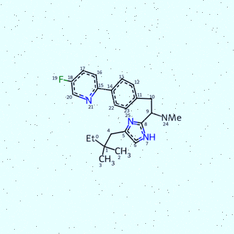 CCC(C)(C)Cc1c[nH]c(C(Cc2ccc(-c3ccc(F)cn3)cc2)NC)n1